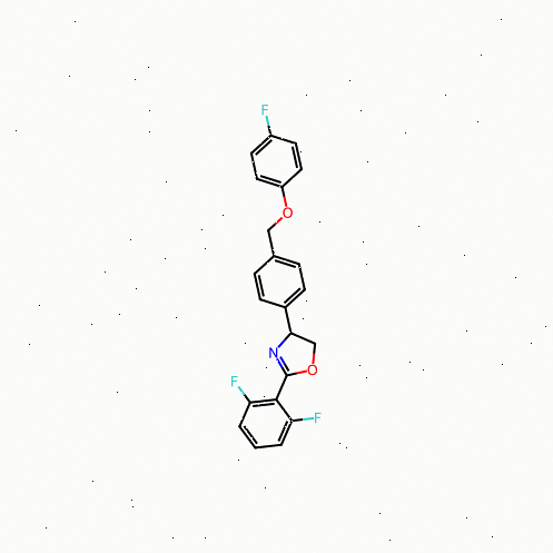 Fc1ccc(OCc2ccc(C3COC(c4c(F)cccc4F)=N3)cc2)cc1